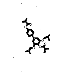 C=C(C)C(=O)Oc1ccc(-c2cc(OC=C(C)C)c(OC(=O)C(=C)C)c(OC=C(C)C)c2)cc1